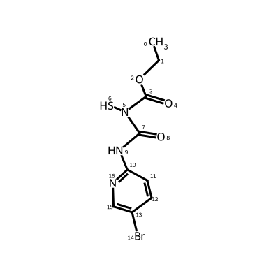 CCOC(=O)N(S)C(=O)Nc1ccc(Br)cn1